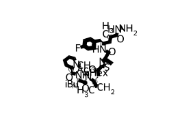 C=C(C)[C@@H](C[C@@H](OC(C)=O)c1nc(C(=O)N[C@@H](Cc2ccc(F)cc2)C[C@H](C)C(=O)NN)cs1)N(CCCCCC)C(=O)[C@@H](NC(=O)[C@H]1CCCCN1C)[C@@H](C)CC